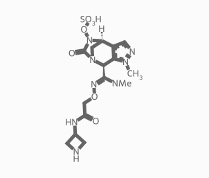 CN/C(=N\OCC(=O)NC1CNC1)[C@@H]1c2c(cnn2C)[C@H]2CN1C(=O)N2OS(=O)(=O)O